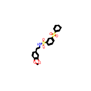 O=S(=O)(NCCc1ccc2c(c1)OCO2)c1cccc(S(=O)(=O)c2ccccc2)c1